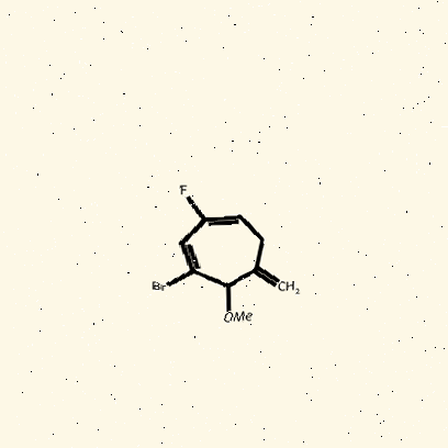 C=C1CC=C(F)C=C(Br)C1OC